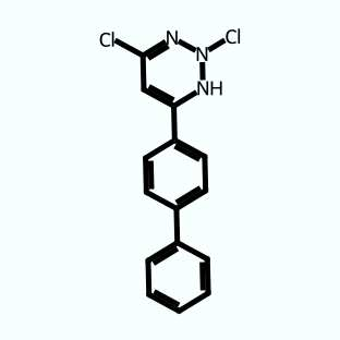 ClC1=NN(Cl)NC(c2ccc(-c3ccccc3)cc2)=C1